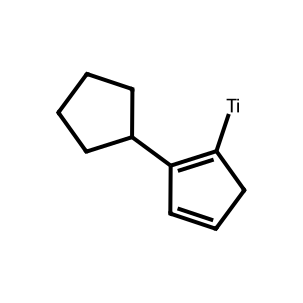 [Ti][C]1=C(C2CCCC2)C=CC1